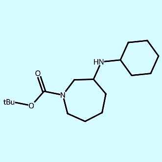 CC(C)(C)OC(=O)N1CCCCC(NC2CCCCC2)C1